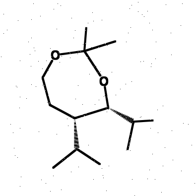 CC(C)[C@H]1OC(C)(C)OCC[C@H]1C(C)C